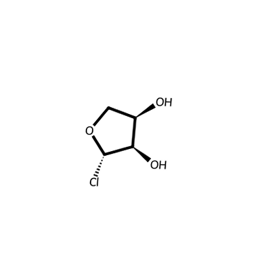 O[C@@H]1[C@H](O)CO[C@H]1Cl